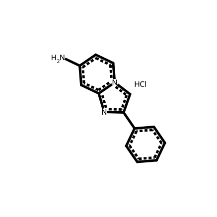 Cl.Nc1ccn2cc(-c3ccccc3)nc2c1